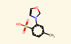 Cc1ccc(S(=O)(=O)O)c(N2C=COC2)c1